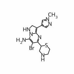 Cn1cc(C2=C3N=C(C4CNCCS4)C(Br)=C(N)N3NC2)cn1